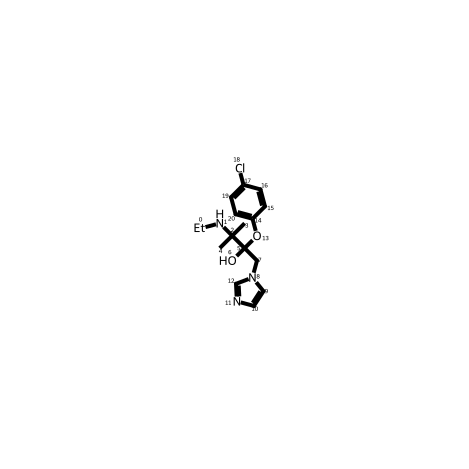 CCNC(C)(C)C(O)(Cn1ccnc1)Oc1ccc(Cl)cc1